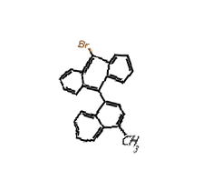 Cc1ccc(-c2c3ccccc3c(Br)c3ccccc23)c2ccccc12